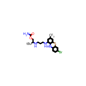 CC(C)(C)C(COC(N)=O)NCCCNc1cc(C(F)(F)F)cc2c1Nc1ccc(Br)cc1S2